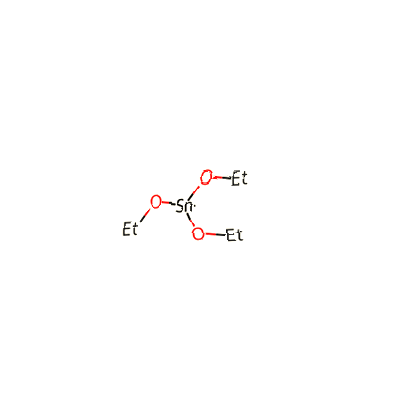 CC[O][Sn]([O]CC)[O]CC